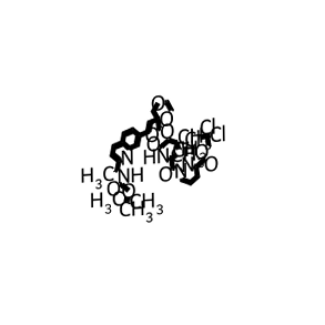 CC(NC(=O)C(OC(=O)C1(/C=C/c2ccc3ccc([C@@H](C)NC(=O)OC(C)(C)C)nc3c2)COCCO1)C(C)C)C(=O)N1CCCC(C(=O)OCC(Cl)(Cl)Cl)N1